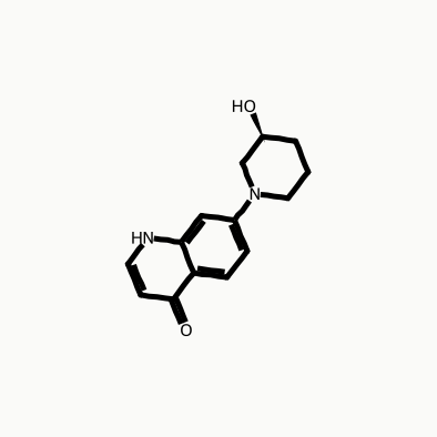 O=c1cc[nH]c2cc(N3CCC[C@H](O)C3)ccc12